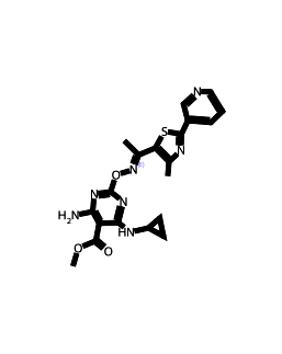 COC(=O)c1c(N)nc(O/N=C(\C)c2sc(-c3cccnc3)nc2C)nc1NC1CC1